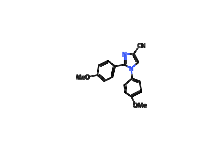 COc1ccc(-c2nc(C#N)cn2-c2ccc(OC)cc2)cc1